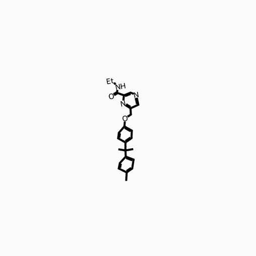 CCNC(=O)c1cncc(COc2ccc(C(C)(C)c3ccc(C)cc3)cc2)n1